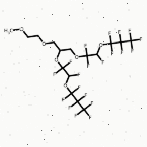 COCCOCC(COC(F)(F)C(F)OC(F)(F)C(F)(F)C(F)(F)F)OC(F)(F)C(F)OC(F)(F)C(F)(F)C(F)(F)F